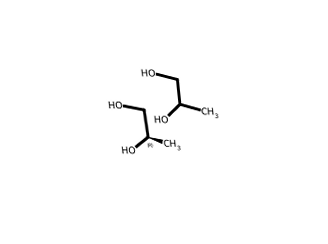 CC(O)CO.C[C@@H](O)CO